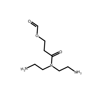 NCCN(CCN)C(=O)CCOC=O